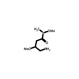 COC(CN)CC(=O)N(C)OC